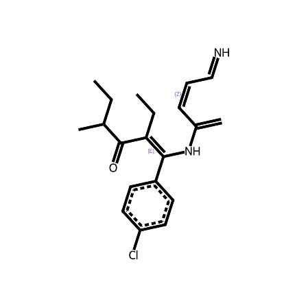 C=C(/C=C\C=N)N/C(=C(\CC)C(=O)C(C)CC)c1ccc(Cl)cc1